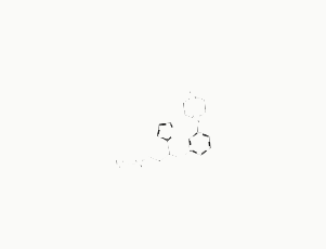 CNCCC(Oc1cccc(N2CCNCC2)c1)c1cccs1